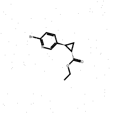 CCOC(=O)[C@H]1C[C@@H]1c1ccc(Br)nc1